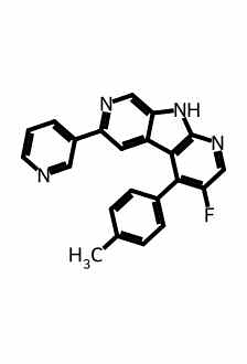 Cc1ccc(-c2c(F)cnc3[nH]c4cnc(-c5cccnc5)cc4c23)cc1